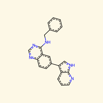 c1ccc(CNc2ncnc3ccc(-c4c[nH]c5ncccc45)cc23)cc1